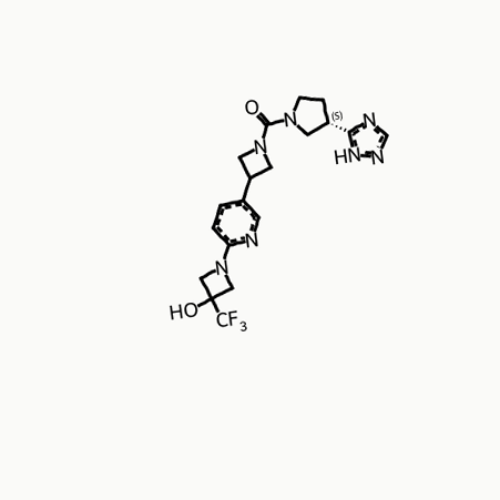 O=C(N1CC(c2ccc(N3CC(O)(C(F)(F)F)C3)nc2)C1)N1CC[C@H](c2ncn[nH]2)C1